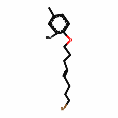 Cc1ccc(OCCCC=CCCCBr)c(C(C)(C)C)c1